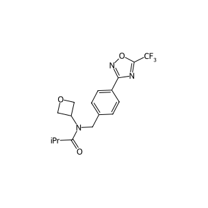 CC(C)C(=O)N(Cc1ccc(-c2noc(C(F)(F)F)n2)cc1)C1COC1